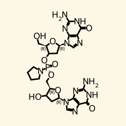 Nc1nc2c(ncn2[C@H]2CC(O)[C@@H](COP(=O)(OC3C[C@H](n4cnc5c(=O)[nH]c(N)nc54)O[C@@H]3CO)N3CCCC3)O2)c(=O)[nH]1